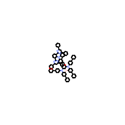 c1ccc(-c2ccc(N3c4ccc(-c5ccccc5)cc4B4c5cc(-c6ccccc6)ccc5N(c5ccc(-c6ccccc6)cc5)c5cc(-c6ccc7c(c6)c6ccccc6n7-c6c(-c7nc(-c8ccccc8)cc(-c8ccccc8)n7)cccc6-c6nc(-c7ccccc7)cc(-c7ccccc7)n6)cc3c54)cc2)cc1